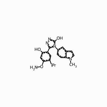 CC(C)c1cc(-c2nnc(O)n2-c2ccc3c(ccn3C)c2)c(O)cc1ON